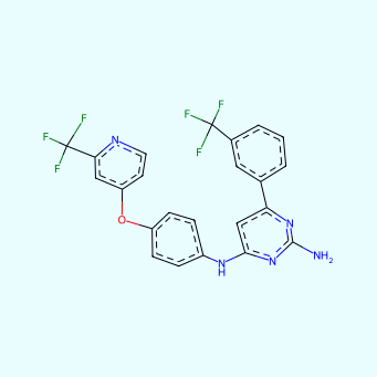 Nc1nc(Nc2ccc(Oc3ccnc(C(F)(F)F)c3)cc2)cc(-c2cccc(C(F)(F)F)c2)n1